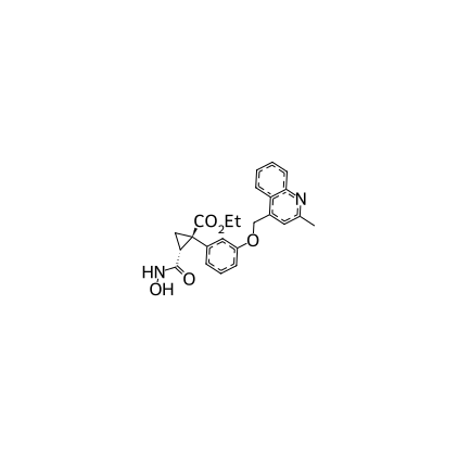 CCOC(=O)[C@]1(c2cccc(OCc3cc(C)nc4ccccc34)c2)C[C@H]1C(=O)NO